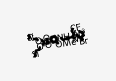 COc1cc(S(=O)(=O)N(COCC[Si](C)(C)C)COCC[Si](C)(C)C)ccc1NCC#Cc1nc2c(Br)cccn2c1CC(F)(F)F